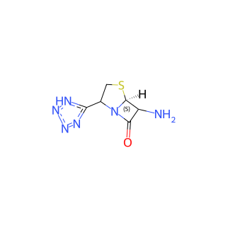 NC1C(=O)N2C(c3nnn[nH]3)CS[C@@H]12